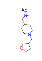 CC(=O)N(C)CC1CCN(CC2CCOC2)CC1